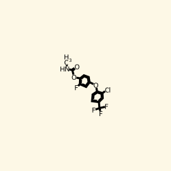 CNC(=O)Oc1ccc(Oc2ccc(C(F)(F)F)cc2Cl)cc1F